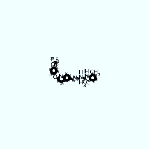 Cc1cccc(C)c1NC(=O)NS/N=C/c1ccc2nc(Oc3ccc(OC(F)(F)F)cc3)ccc2c1